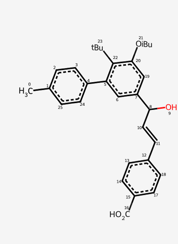 Cc1ccc(-c2cc(C(O)C=Cc3ccc(C(=O)O)cc3)cc(OCC(C)C)c2C(C)(C)C)cc1